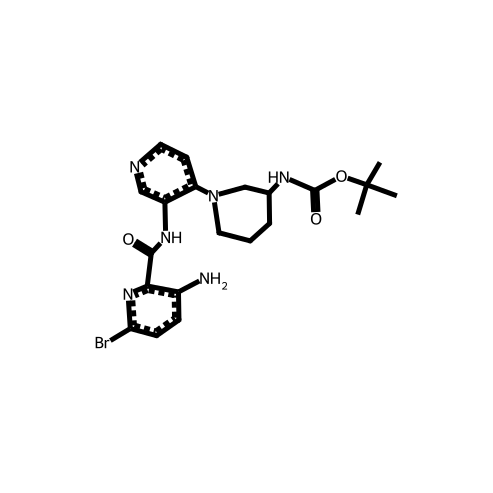 CC(C)(C)OC(=O)NC1CCCN(c2ccncc2NC(=O)c2nc(Br)ccc2N)C1